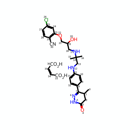 CC1CC(=O)NN=C1c1ccc(NCC(C)(C)NCC(O)COc2cc(Cl)ccc2C#N)cc1.O=C(O)/C=C\C(=O)O